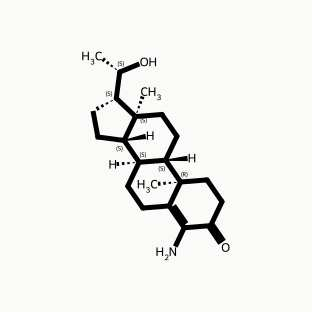 C[C@H](O)[C@H]1CC[C@H]2[C@@H]3CCC4=C(N)C(=O)CC[C@]4(C)[C@H]3CC[C@]12C